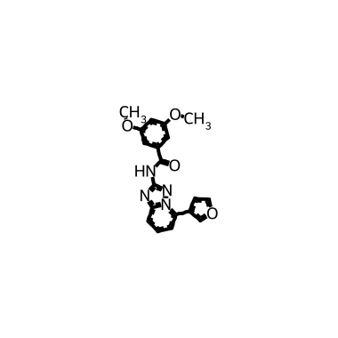 COc1cc(OC)cc(C(=O)Nc2nc3cccc(-c4ccoc4)n3n2)c1